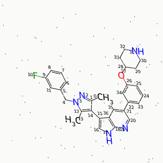 Cc1nn(Cc2cccc(F)c2)c(C)c1-c1c[nH]c2ncc(-c3cccc(OC4CCNCC4)c3)cc12